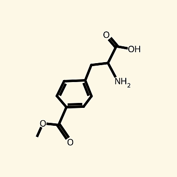 COC(=O)c1ccc(CC(N)C(=O)O)cc1